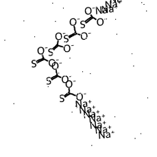 [Na+].[Na+].[Na+].[Na+].[Na+].[Na+].[Na+].[Na+].[Na+].[Na+].[Na+].[Na+].[O-]C([O-])=S.[O-]C([O-])=S.[O-]C([O-])=S.[O-]C([O-])=S.[O-]C([O-])=S.[O-]C([O-])=S